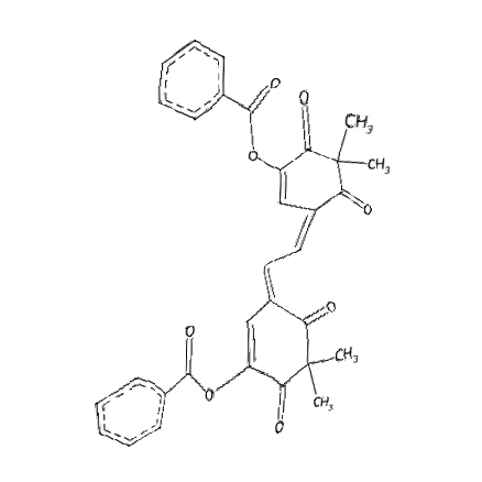 CC1(C)C(=O)C(=CC=C2C=C(OC(=O)c3ccccc3)C(=O)C(C)(C)C2=O)C=C(OC(=O)c2ccccc2)C1=O